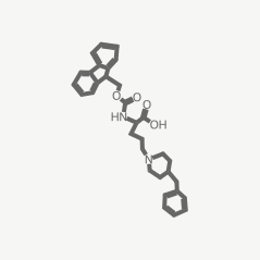 O=C(NC(CCCN1CCC(Cc2ccccc2)CC1)C(=O)O)OCC1c2ccccc2-c2ccccc21